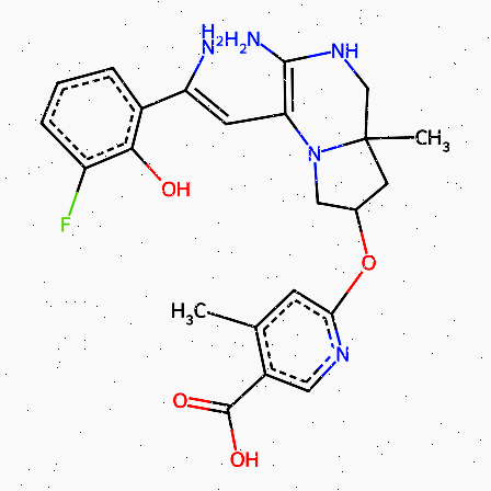 Cc1cc(OC2CN3C(/C=C(\N)c4cccc(F)c4O)=C(N)NCC3(C)C2)ncc1C(=O)O